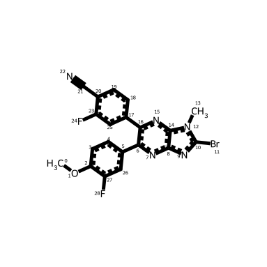 COc1ccc(-c2nc3nc(Br)n(C)c3nc2-c2ccc(C#N)c(F)c2)cc1F